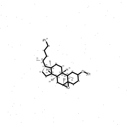 CCOC1CCC23O[C@H]2C[C@H]2[C@@H]4CC[C@H]([C@H](C)CCCC(C)C)[C@@]4(C)CC[C@@H]2[C@@]3(C)C1